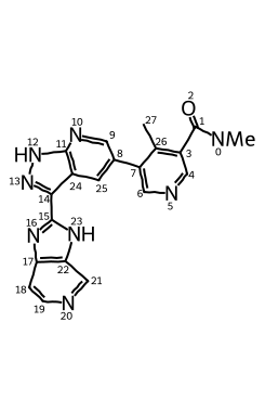 CNC(=O)c1cncc(-c2cnc3[nH]nc(-c4nc5ccncc5[nH]4)c3c2)c1C